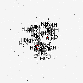 CC[C@H](C)[C@H](NC(=O)[C@H](CCC(N)=O)NC(=O)[C@H](C)NC(=O)[C@@H](NC(=O)[C@@H](N)Cc1c[nH]c2ccccc12)[C@@H](C)CC)C(=O)N[C@@H](CC(C)C)C(=O)N[C@@H](CCCNC(=N)N)C(=O)N[C@@H](CCCNC(=N)N)C(=O)N[C@@H](Cc1c[nH]c2ccccc12)C(=O)NCC(=O)N[C@@H](CC(=O)O)C(=O)N[C@@H](CCC(=O)O)C(=O)N[C@@H](Cc1ccccc1)C(=O)N[C@@H](CC(N)=O)C(=O)O